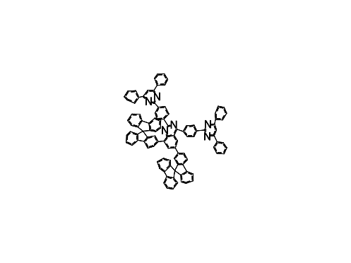 c1ccc(-c2cc(-c3ccccc3)nc(-c3ccc(-c4nc(-c5ccc(-c6nc(-c7ccccc7)cc(-c7ccccc7)n6)cc5)c5cc(-c6ccc7c(c6)C6(c8ccccc8-c8ccccc86)c6ccccc6-7)cc(-c6ccc7c(c6)C6(c8ccccc8-c8ccccc86)c6ccccc6-7)c5n4)cc3)n2)cc1